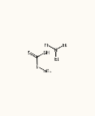 CCCCSC(=S)S.CCN(CC)CC